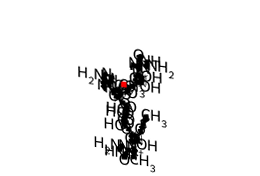 CCCCOC[C@H]1[C@@H](O)[C@H](n2c[n+](C)c3c(=O)[nH]c(N)nc32)O[C@@H]1COP(=O)(O)OP(=O)(O)OP(=O)(O)OC[C@H]1O[C@@H](n2cnc3c(N)ncnc32)[C@H](OC)[C@@H]1OP(=O)([O-])OC[C@H]1O[C@@H](n2cnc3c(=O)[nH]c(N)nc32)[C@H](O)[C@@H]1O